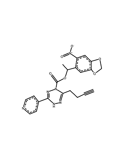 C#CCCC1=NNC(c2ccncc2)=NN1C(=O)OC(C)c1cc2c(cc1[N+](=O)[O-])OCO2